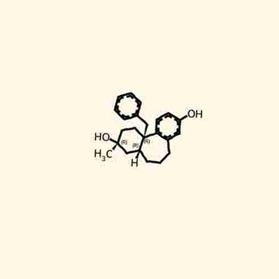 C[C@@]1(O)CC[C@]2(Cc3ccccc3)c3ccc(O)cc3CCC[C@@H]2C1